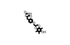 Cc1c(C)c2c(c(C)c1O)OCC(COc1ccc(CC3SC(=O)NC3=O)cc1)O2